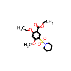 CCOC(=O)c1cc(S(=O)(=O)N2CCCCC2)c(OC)cc1OCC